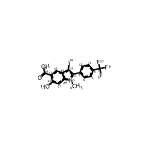 Cn1c(-c2ccc(C(F)(F)F)cc2)c(I)c2cc(C(=O)O)c(O)cc21